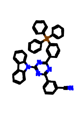 N#Cc1cccc(-c2nc(-c3cccc(S(c4ccccc4)(c4ccccc4)c4ccccc4)c3)nc(-n3c4ccccc4c4ccccc43)n2)c1